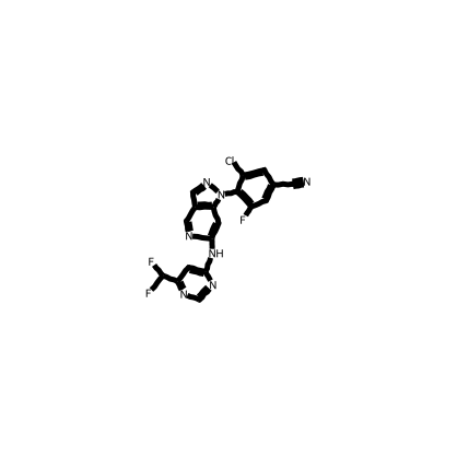 N#Cc1cc(F)c(-n2ncc3cnc(Nc4cc(C(F)F)ncn4)cc32)c(Cl)c1